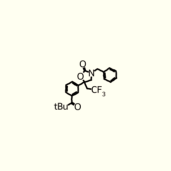 CC(C)(C)C(=O)c1cccc(C2(CC(F)(F)F)CN(Cc3ccccc3)C(=O)O2)c1